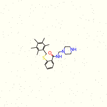 Cc1c(C)c(C)c(CSc2ccccc2C(=O)NCN2CCNCC2)c(C)c1C